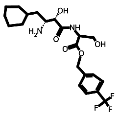 N[C@H](CC1CCCCC1)[C@H](O)C(=O)NC(CO)C(=O)OCc1ccc(C(F)(F)F)cc1